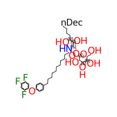 CCCCCCCCCCCCCC[C@@H](O)[C@@H](O)[C@H](CO[C@H]1OC(CO)[C@H](O)[C@H](O)C1O)NC(=O)CCCCCCCCCCc1ccc(Oc2cc(F)c(F)cc2F)cc1